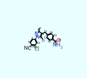 Cc1nn(-c2ccc(C#N)c(Cl)c2)c(C)c1Cc1ccc(C(N)=O)cc1